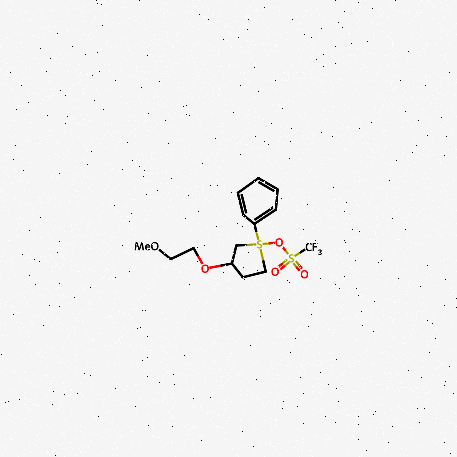 COCCOC1CCS(OS(=O)(=O)C(F)(F)F)(c2ccccc2)C1